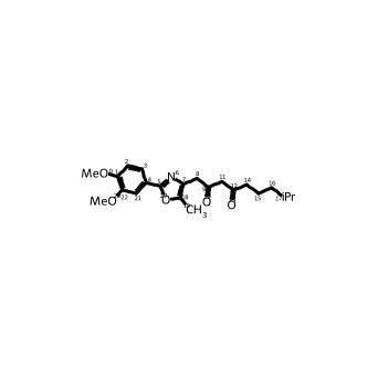 COc1ccc(-c2nc(CC(=O)CC(=O)CCCC(C)C)c(C)o2)cc1OC